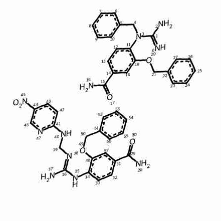 N=C(N)N(Cc1ccccc1)c1ccc(C(N)=O)cc1OCc1ccccc1.NC(=O)c1ccc(NC(N)=NCNc2ccc([N+](=O)[O-])cn2)c(OCc2ccccc2)c1